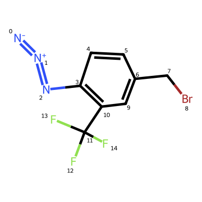 [N-]=[N+]=Nc1ccc(CBr)cc1C(F)(F)F